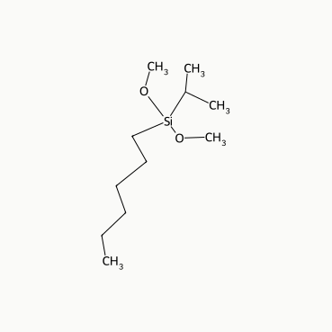 CCCCCC[Si](OC)(OC)C(C)C